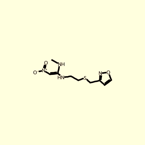 CNC(=C[N+](=O)[O-])NCCSCc1ccon1